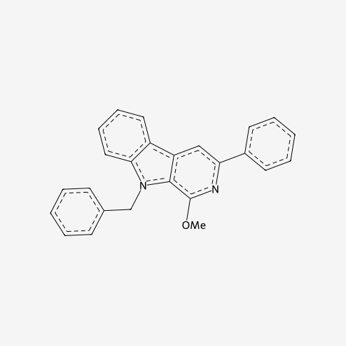 COc1nc(-c2ccccc2)cc2c3ccccc3n(Cc3ccccc3)c12